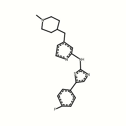 CN1CCC(Cc2ccnc(Nc3ncc(-c4ccc(F)cc4)s3)c2)CC1